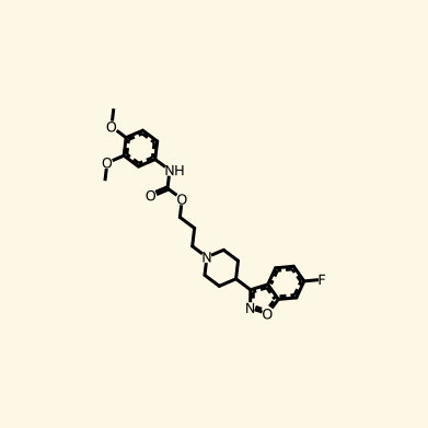 COc1ccc(NC(=O)OCCCN2CCC(c3noc4cc(F)ccc34)CC2)cc1OC